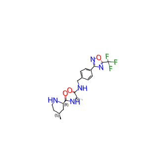 C[C@H]1CCN[C@@H](C(=O)N[C@@H](C)C(=O)NCc2ccc(-c3noc(C(F)(F)F)n3)cc2)C1